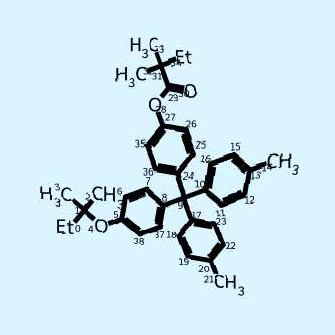 CCC(C)(C)Oc1ccc(C(c2ccc(C)cc2)(c2ccc(C)cc2)c2ccc(OC(=O)C(C)(C)CC)cc2)cc1